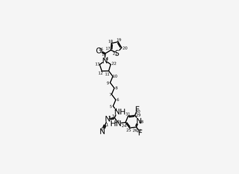 N#C/N=C(/NCCCCCCC1CCN(C(=O)c2cccs2)C1)Nc1cc(F)nc(F)c1